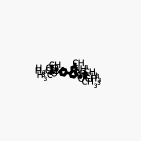 Cc1cc2c(-c3ccc(B4OC(C)(C)C(C)(C)O4)cc3)ccc(B3OC(C)(C)C(C)(C)O3)c2[nH]1